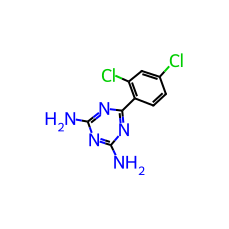 Nc1nc(N)nc(-c2ccc(Cl)cc2Cl)n1